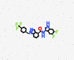 O=C(Nc1c[nH]c2cc(F)c(F)cc12)c1cccc2c1cnn2Cc1ccc(C(F)(F)F)cc1